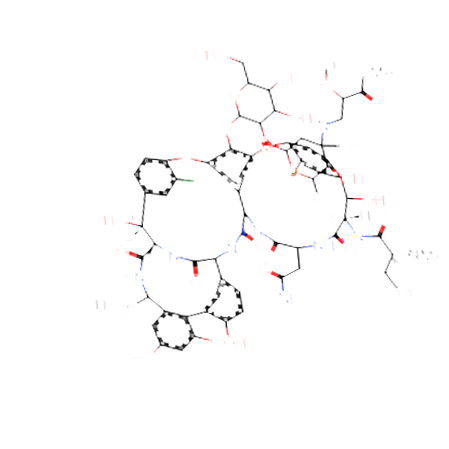 CCOC(CNC1(C)CC(OC2C(Oc3c4cc5cc3Oc3ccc(cc3Cl)[C@@H](O)[C@@H]3NC(=O)C(NC(=O)C5NC(=O)C(CC(N)=O)NC(=O)[C@@H](NC(=O)[C@@H](CC(C)C)NC)C(O)c5ccc(c(Cl)c5)O4)c4ccc(O)c(c4)-c4c(O)cc(O)cc4C(C(=O)O)NC3=O)OC(CO)C(O)C2O)OC(C)C1O)C(=O)OC